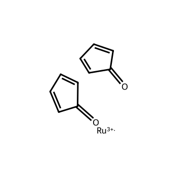 O=C1C=CC=C1.O=C1C=CC=C1.[Ru+3]